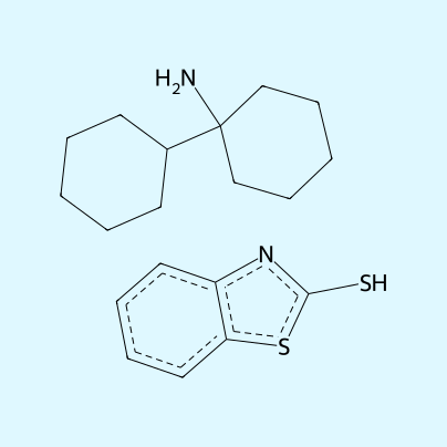 NC1(C2CCCCC2)CCCCC1.Sc1nc2ccccc2s1